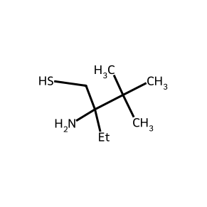 CCC(N)(CS)C(C)(C)C